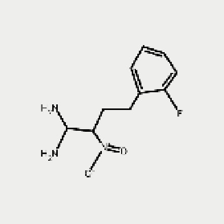 NC(N)C(CCc1ccccc1F)[N+](=O)[O-]